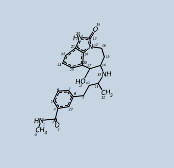 CNC(=O)c1cccc(CCC(C)NC2CCn3c(=O)[nH]c4cccc(c43)C2O)c1